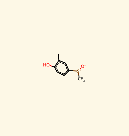 Cc1cc([S+]([O-])C(F)(F)F)ccc1O